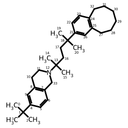 CC(C)(C)c1ccc2c(c1)CCN(C(C)(C)CCC(C)(C)c1ccc3c(c1)CCCCCC3)C2